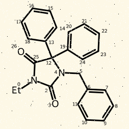 CCN1C(=O)N(Cc2ccccc2)C(c2ccccc2)(c2ccccc2)C1=O